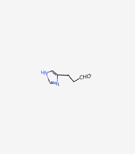 O=[C]CCc1c[nH]cn1